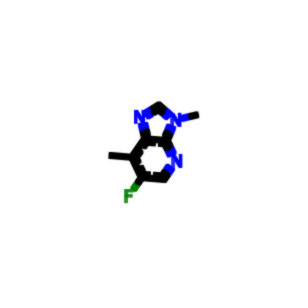 Cc1c(F)cnc2c1ncn2C